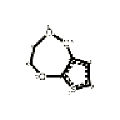 c1cc2c(s1)OCCOO2